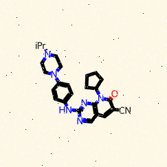 CC(C)N1CCN(c2ccc(Nc3ncc4cc(C#N)c(=O)n(C5CCCC5)c4n3)cc2)CC1